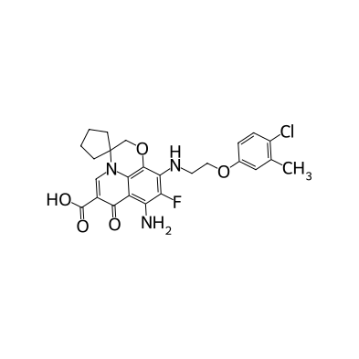 Cc1cc(OCCNc2c(F)c(N)c3c(=O)c(C(=O)O)cn4c3c2OCC42CCCC2)ccc1Cl